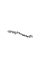 [CH2]CCC=CCC=CCCCCCCCCCC